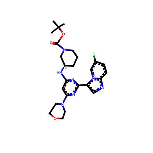 CC(C)(C)OC(=O)N1CCC[C@@H](Nc2cc(N3CCOCC3)nc(-c3cnc4ccc(F)cn34)n2)C1